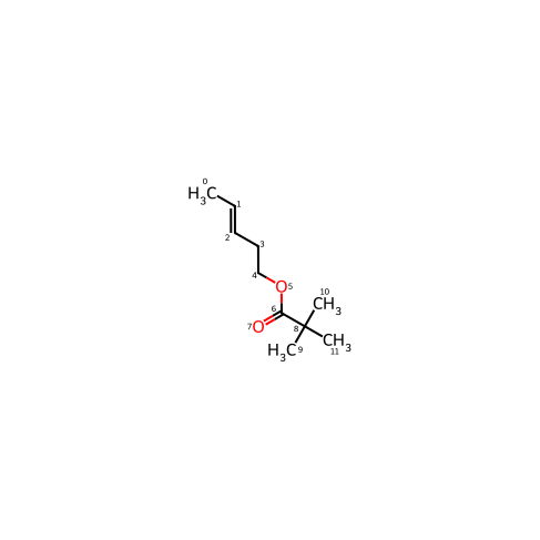 CC=CCCOC(=O)C(C)(C)C